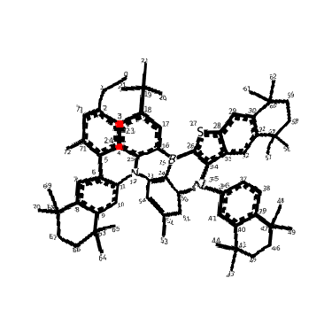 CCc1ccc(-c2cc3c(cc2N2C4=C5B(c6cc(C(C)(C)C)ccc62)c2sc6cc7c(cc6c2N(c2ccc6c(c2)C(C)(C)CCC6(C)C)C5CC(C)=C4)C(C)(C)CCC7(C)C)C(C)(C)CCC3(C)C)c(C)c1